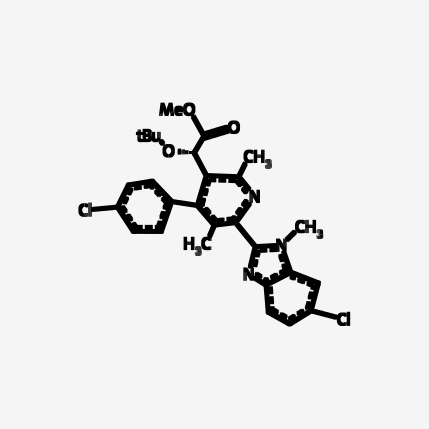 COC(=O)[C@@H](OC(C)(C)C)c1c(C)nc(-c2nc3ccc(Cl)cc3n2C)c(C)c1-c1ccc(Cl)cc1